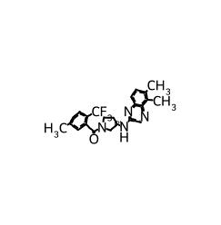 Cc1ccc(C(F)(F)F)c(C(=O)N2CC[C@@H](Nc3cnc4c(C)c(C)ccc4n3)C2)c1